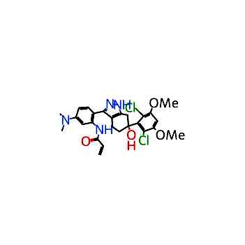 C=CC(=O)Nc1cc(N(C)C)ccc1-c1n[nH]c2c1CC[C@@](O)(c1c(Cl)c(OC)cc(OC)c1Cl)C2